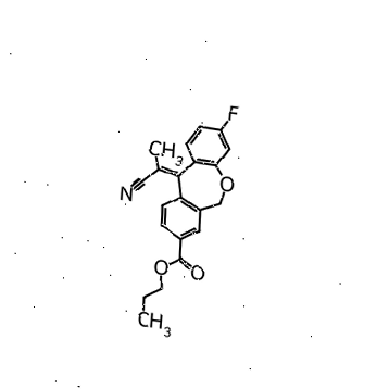 CCCOC(=O)c1ccc2c(c1)COc1cc(F)ccc1C2=C(C)C#N